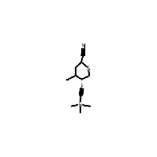 CC1CC(C#N)SC[C@@H]1C#C[Si](C)(C)C